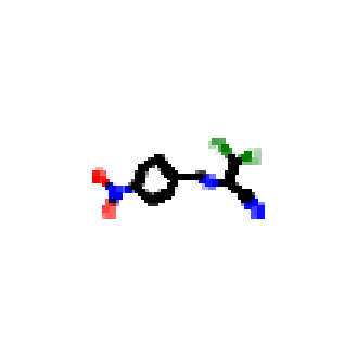 N#CC(N=Cc1ccc([N+](=O)[O-])cc1)=C(Cl)Cl